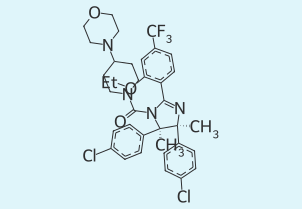 CCOc1cc(C(F)(F)F)ccc1C1=N[C@@](C)(c2ccc(Cl)cc2)[C@@](C)(c2ccc(Cl)cc2)N1C(=O)N1CCC(N2CCOCC2)CC1